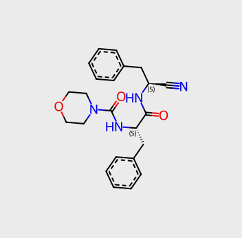 N#C[C@H](Cc1ccccc1)NC(=O)[C@H](Cc1ccccc1)NC(=O)N1CCOCC1